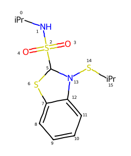 CC(C)NS(=O)(=O)C1Sc2ccccc2N1SC(C)C